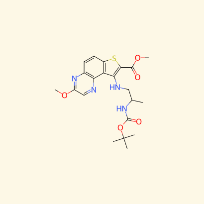 COC(=O)c1sc2ccc3nc(OC)cnc3c2c1NCC(C)NC(=O)OC(C)(C)C